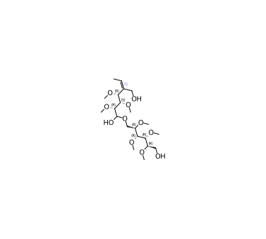 C/C=C(/CO)[C@@H](OC)[C@H](OC)[C@@H](OC)C(O)OC[C@@H](OC)[C@@H](OC)[C@H](OC)[C@@H](CO)OC